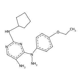 CCOc1ccc(N(N)c2nc(NC3CCCC3)ncc2N)cc1